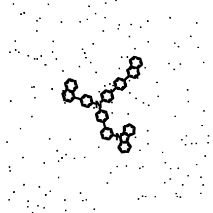 c1cc(-c2ccc(N(c3ccc(-c4ccc(-c5ccc6ccccc6c5)cc4)cc3)c3ccc(-c4cccc5ccccc45)cc3)cc2)cc(-n2c3ccccc3c3ccccc32)c1